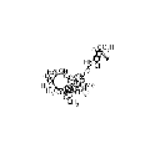 CC[C@H]1OC(=O)[C@H](C)[C@@H](O[C@H]2C[C@@](C)(OC)[C@@H](OC(=O)CCOCCNc3cc4c(=O)c(C(=O)O)cn(C5CC5)c4cc3Cl)[C@H](C)O2)[C@H](C)[C@@H](O[C@@H]2O[C@H](C)C[C@H](N(C)C)[C@H]2O)[C@](C)(OC)C[C@@H](C)C(=O)[C@H](C)[C@@H](O)[C@]1(C)O